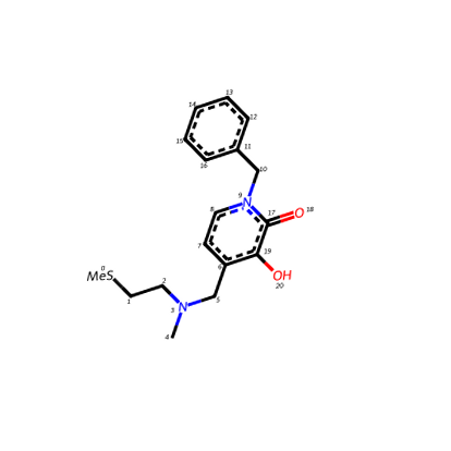 CSCCN(C)Cc1ccn(Cc2ccccc2)c(=O)c1O